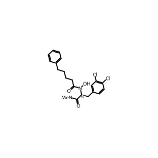 CNC(=O)[C@H](Cc1ccc(Cl)c(Cl)c1)N(O)C(=O)CCCCc1ccccc1